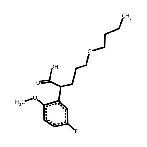 CCCCOCCCC(C(=O)O)c1cc(F)ccc1OC